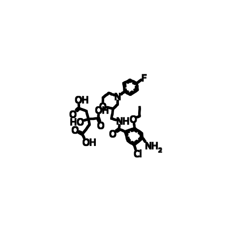 CCOc1cc(N)c(Cl)cc1C(=O)NCC1CN(c2ccc(F)cc2)CCO1.O=C(O)CC(O)(CC(=O)O)C(=O)O